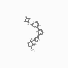 CN1CCC(O)(c2cc(-c3cccc(-c4ccnc(NC5CCC5)n4)n3)no2)C1=O